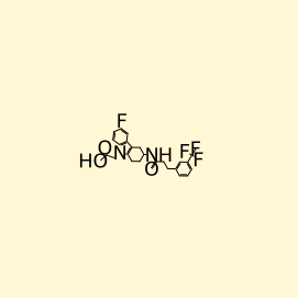 O=C(O)Cn1c2c(c3cc(F)ccc31)CC(NC(=O)CCc1cccc(C(F)(F)F)c1)CC2